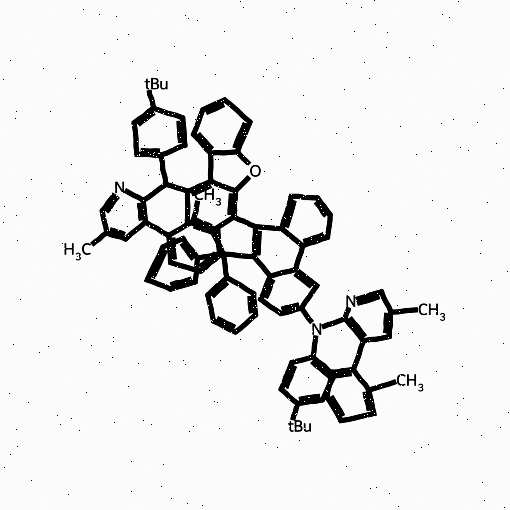 Cc1cnc(C(c2ccc(C(C)(C)C)cc2)c2cc3c(c4oc5ccccc5c24)-c2c(c4ccc(N(c5ccc(C(C)(C)C)cc5)c5ncc(C)cc5-c5ccccc5C)cc4c4ccccc24)C3(c2ccccc2)c2ccccc2)c(-c2ccccc2C)c1